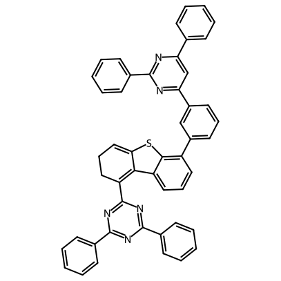 C1=c2sc3c(-c4cccc(-c5cc(-c6ccccc6)nc(-c6ccccc6)n5)c4)cccc3c2=C(c2nc(-c3ccccc3)nc(-c3ccccc3)n2)CC1